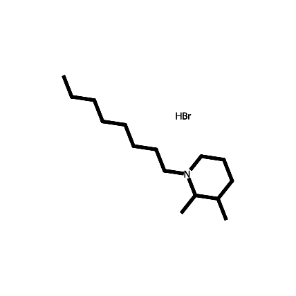 Br.CCCCCCCCN1CCCC(C)C1C